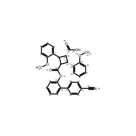 COc1ccccc1C1C(C(=O)Oc2ccccc2-c2ccc(C#N)cc2)[C@@H](c2ccccc2OC)[C@H]1C(=O)O